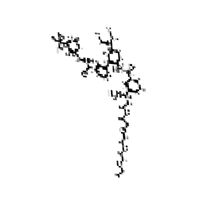 CCOCCOCCOCCOCCC(N)c1cccc(C(=O)Nc2ccc(N(CC)CC)cc2-c2cc(C(=O)NCc3cccc(C(F)(F)F)c3)ccn2)c1